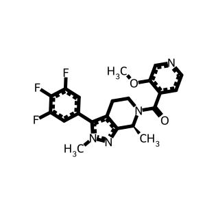 COc1cnccc1C(=O)N1CCc2c(nn(C)c2-c2cc(F)c(F)c(F)c2)[C@@H]1C